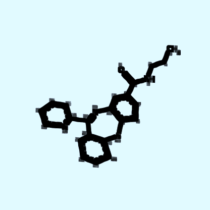 CCCNC(=O)c1ccc2c(c1)N=C(c1ccccn1)c1ccccc1S2